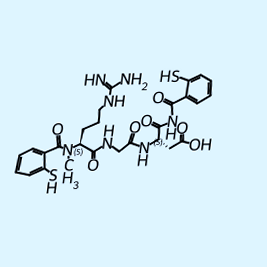 CN(C(=O)c1ccccc1S)[C@@H](CCCNC(=N)N)C(=O)NCC(=O)N[C@@H](CC(=O)O)C(=O)NC(=O)c1ccccc1S